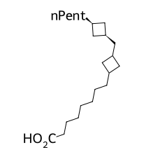 CCCCC[C@H]1C[C@@H](CC2CC(CCCCCCCC(=O)O)C2)C1